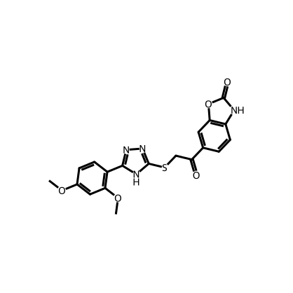 COc1ccc(-c2nnc(SCC(=O)c3ccc4[nH]c(=O)oc4c3)[nH]2)c(OC)c1